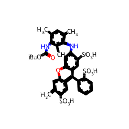 C=c1cc2c(cc1S(=O)(=O)O)=C(c1ccccc1S(=O)(=O)O)c1cc(S(=O)(=O)O)c(Nc3c(C)cc(C)c(NC(=O)OCC(C)C)c3C)cc1O2